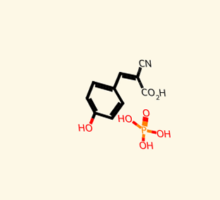 N#CC(=Cc1ccc(O)cc1)C(=O)O.O=P(O)(O)O